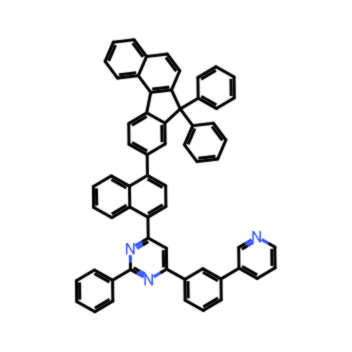 c1ccc(-c2nc(-c3cccc(-c4cccnc4)c3)cc(-c3ccc(-c4ccc5c(c4)C(c4ccccc4)(c4ccccc4)c4ccc6ccccc6c4-5)c4ccccc34)n2)cc1